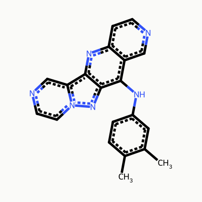 Cc1ccc(Nc2c3cnccc3nc3c2nn2ccncc32)cc1C